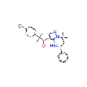 CC(C)(C(=O)c1cnn2c1NC(c1ccccc1)CC2(C)C)C1C=CC(Cl)=CC1